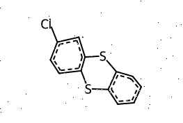 Clc1[c]c2c(cc1)Sc1ccccc1S2